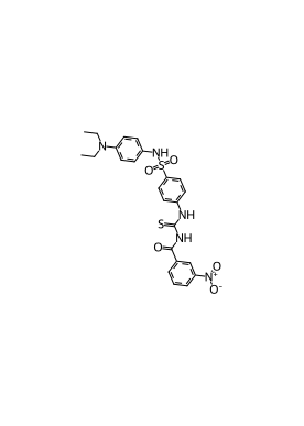 CCN(CC)c1ccc(NS(=O)(=O)c2ccc(NC(=S)NC(=O)c3cccc([N+](=O)[O-])c3)cc2)cc1